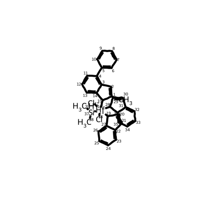 CC1=Cc2c(-c3ccccc3)cccc2[CH]1[Hf]([Cl])([Cl])([CH]1C=Cc2ccccc21)([CH]1C=Cc2ccccc21)[SiH](C)C